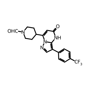 O=CN1CCC(c2cc(=O)[nH]c3c(-c4ccc(C(F)(F)F)cc4)cnn23)CC1